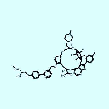 COC[C@H](COc1ccc(-c2nccc(COc3ccc4cc3C[C@H](C(=O)O)Oc3ncnc5sc(-c6ccc(F)cc6)c(c35)-c3c(C)c(Cl)c(c(Cl)c3C)O[C@H](CN3CCN(C)CC3)CO4)n2)cc1)OC